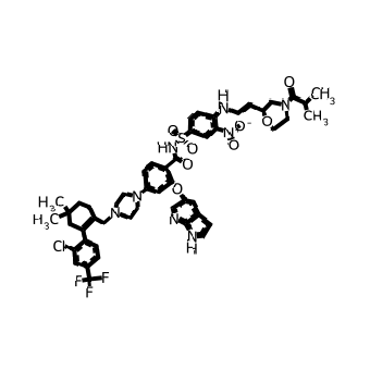 CC(C)C(=O)N1CCOC(CCNc2ccc(S(=O)(=O)NC(=O)c3ccc(N4CCN(CC5=C(c6ccc(C(F)(F)F)cc6Cl)CC(C)(C)CC5)CC4)cc3Oc3cnc4[nH]ccc4c3)cc2[N+](=O)[O-])C1